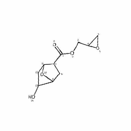 O=C(OCC1CO1)C1CC2OC1CC2O